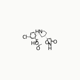 CC(=O)O.O=c1cc([C@H]2CCN[C@@H](c3ccc(Cl)cc3F)C2)o[nH]1